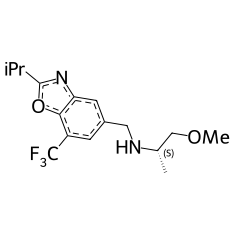 COC[C@H](C)NCc1cc(C(F)(F)F)c2oc(C(C)C)nc2c1